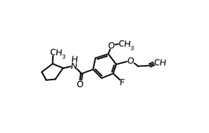 C#CCOc1c(F)cc(C(=O)NC2CCCC2C)cc1OC